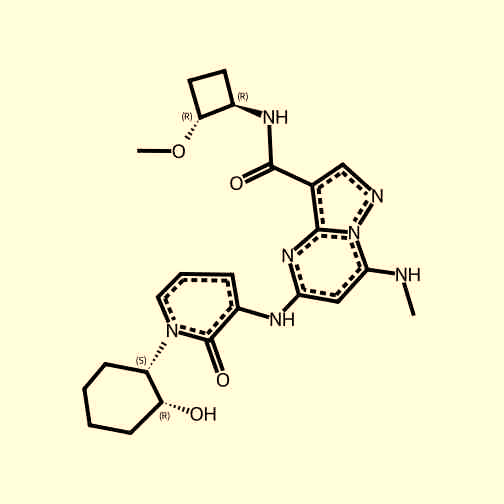 CNc1cc(Nc2cccn([C@H]3CCCC[C@H]3O)c2=O)nc2c(C(=O)N[C@@H]3CC[C@H]3OC)cnn12